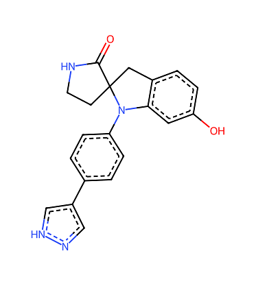 O=C1NCCC12Cc1ccc(O)cc1N2c1ccc(-c2cn[nH]c2)cc1